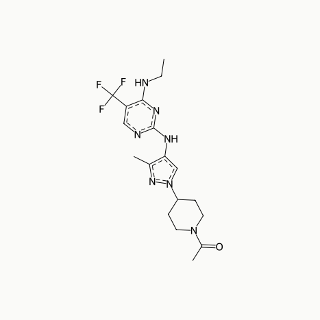 CCNc1nc(Nc2cn(C3CCN(C(C)=O)CC3)nc2C)ncc1C(F)(F)F